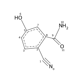 N#Cc1ccc(O)cc1C(N)=O